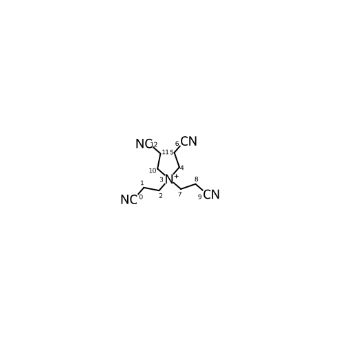 N#CCC[N+](CCC#N)(CCC#N)CCC#N